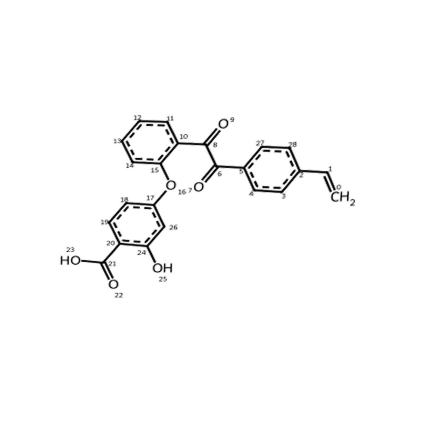 C=Cc1ccc(C(=O)C(=O)c2ccccc2Oc2ccc(C(=O)O)c(O)c2)cc1